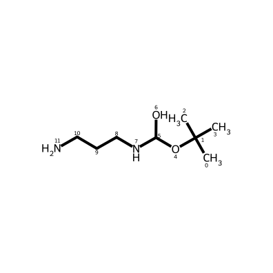 CC(C)(C)OC(O)NCCCN